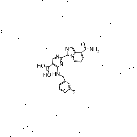 NC(=O)c1cccn2c(-c3ncc(B(O)O)c(NCc4cccc(F)c4)n3)ncc12